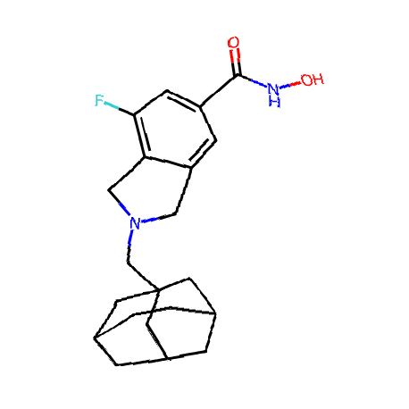 O=C(NO)c1cc(F)c2c(c1)CN(CC13CC4CC(CC(C4)C1)C3)C2